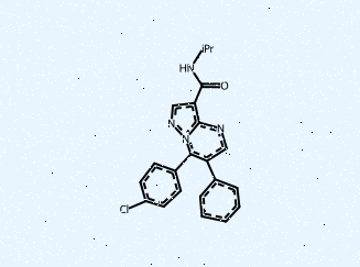 CC(C)NC(=O)c1cnn2c(-c3ccc(Cl)cc3)c(-c3ccccc3)cnc12